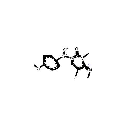 C/N=c1\c(F)cn([S+]([O-])c2ccc(OC)cc2)c(=O)n1C